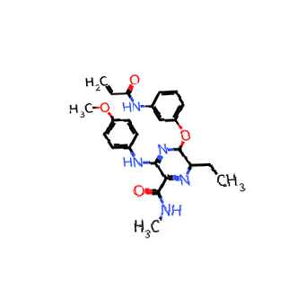 C=CC(=O)Nc1cccc(OC2N=C(Nc3ccc(OC)cc3)C(C(=O)NC)=NC2CC)c1